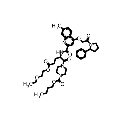 CCCCOC(=O)N1CCN(C(=O)C(CCC(=O)OCCOCC)NC(=O)c2cc(OCC(=O)N3CCCC3c3ccccc3)c3ccc(C)cc3n2)CC1